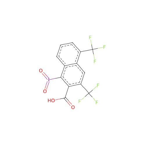 O=C(O)c1c(C(F)(F)F)cc2c(C(F)(F)F)cccc2c1I(=O)=O